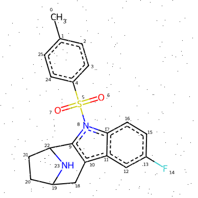 Cc1ccc(S(=O)(=O)n2c3c(c4cc(F)ccc42)CC2CCC3N2)cc1